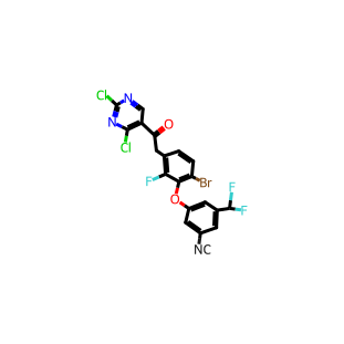 [C-]#[N+]c1cc(Oc2c(Br)ccc(CC(=O)c3cnc(Cl)nc3Cl)c2F)cc(C(F)F)c1